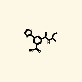 CCC(C)NC(=O)c1cc(C(=O)O)cc(-c2nccs2)c1